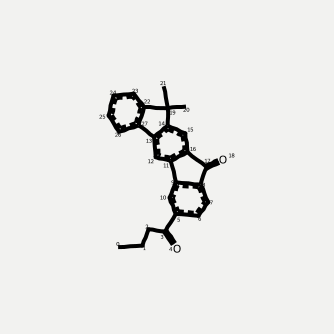 CCCC(=O)c1ccc2c(c1)-c1cc3c(cc1C2=O)C(C)(C)c1ccccc1-3